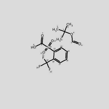 CC(C)(C)OC=O.O=C(O)S(=O)(=O)c1ccccc1C(F)(F)F